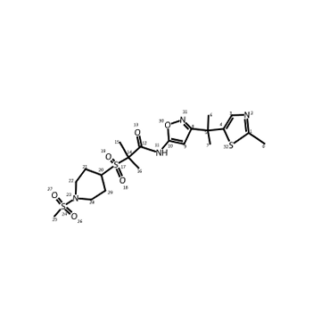 Cc1ncc(C(C)(C)c2cc(NC(=O)C(C)(C)S(=O)(=O)C3CCN(S(C)(=O)=O)CC3)on2)s1